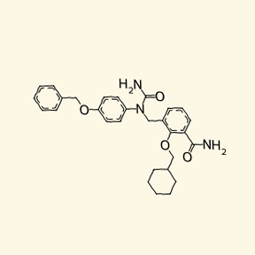 NC(=O)c1cccc(CN(C(N)=O)c2ccc(OCc3ccccc3)cc2)c1OCC1CCCCC1